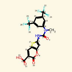 CN(C(=O)Nc1cc2oc(=O)c(C(=O)O)cc2s1)c1cc(C(F)(F)F)cc(C(F)(F)F)c1